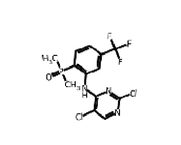 CP(C)(=O)c1ccc(C(F)(F)F)cc1Nc1nc(Cl)ncc1Cl